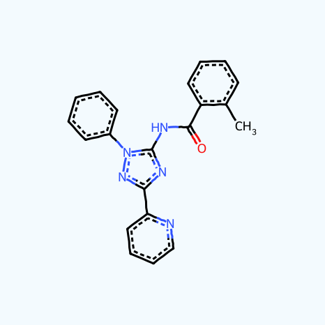 Cc1ccccc1C(=O)Nc1nc(-c2ccccn2)nn1-c1ccccc1